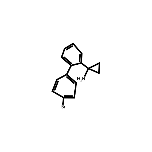 NC1(c2ccccc2-c2ccc(Br)cc2)CC1